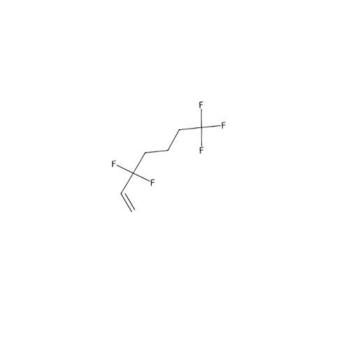 C=CC(F)(F)CCCC(F)(F)F